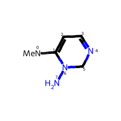 CNC1=CC=NCN1N